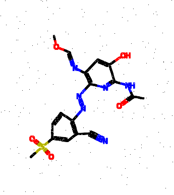 COC=Nc1cc(O)c(NC(C)=O)nc1N=Nc1ccc(S(C)(=O)=O)cc1C#N